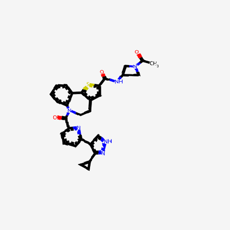 CC(=O)N1CC(NC(=O)c2cc3c(s2)-c2ccccc2N(C(=O)c2cccc(-c4c[nH]nc4C4CC4)n2)CC3)C1